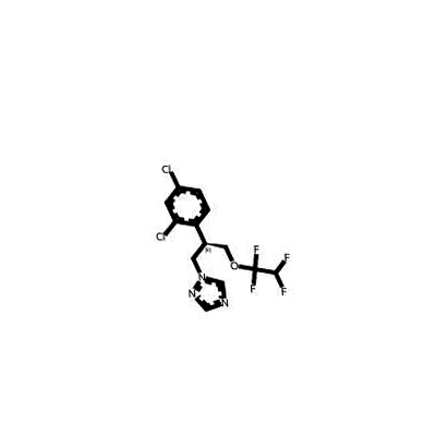 FC(F)C(F)(F)OC[C@@H](Cn1cncn1)c1ccc(Cl)cc1Cl